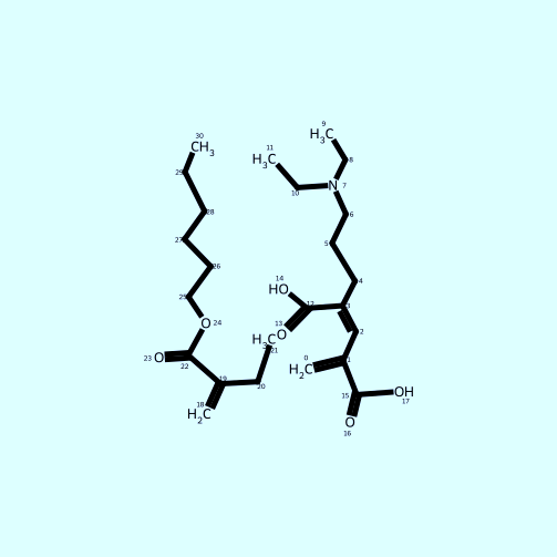 C=C(C=C(CCCN(CC)CC)C(=O)O)C(=O)O.C=C(CC)C(=O)OCCCCCC